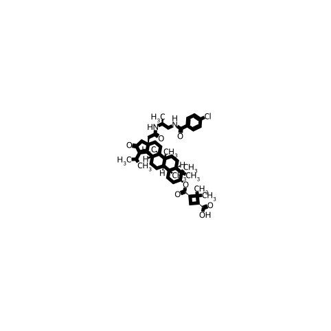 CC(C)C1=C2[C@H]3CC[C@@H]4[C@@]5(C)CC[C@H](OC(=O)[C@H]6C[C@@H](C(=O)O)C6(C)C)C(C)(C)[C@@H]5CC[C@@]4(C)[C@]3(C)CC[C@@]2(CC(=O)N[C@@H](C)CNC(=O)c2ccc(Cl)cc2)CC1=O